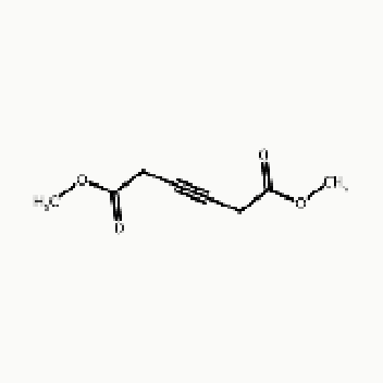 COC(=O)CC#CCC(=O)OC